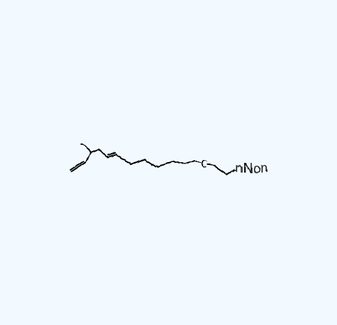 C=CC(C)CC=CCCCCCCCCCCCCCCCCCC